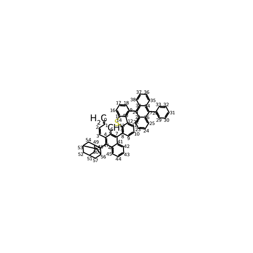 C=C/C=C\c1c(C)c(-c2cccc3c2sc2cccc(-c4c5ccccc5c(-c5ccccc5)c5ccccc45)c23)c2ccccc2c1C1C2CC3CC(C2)CC1C3